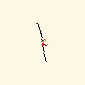 CCCCCCCCCCCC(=O)OC(CC=O)CCCCCCCCCC